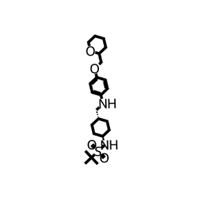 CC(C)(C)S(=O)(=O)N[C@H]1CC[C@H](CNc2ccc(OCC3CCCCO3)cc2)CC1